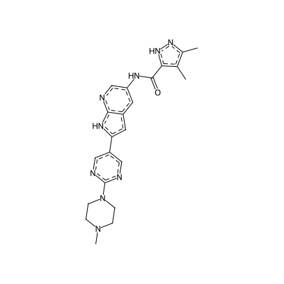 Cc1n[nH]c(C(=O)Nc2cnc3[nH]c(-c4cnc(N5CCN(C)CC5)nc4)cc3c2)c1C